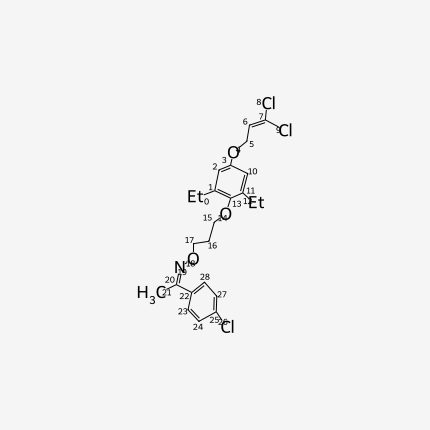 CCc1cc(OCC=C(Cl)Cl)cc(CC)c1OCCCON=C(C)c1ccc(Cl)cc1